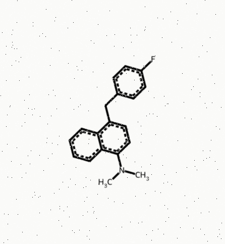 CN(C)c1ccc(Cc2ccc(F)cc2)c2ccccc12